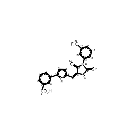 O=C(O)c1cccc(-c2ccc(/C=C3/SC(=S)N(c4cccc(C(F)(F)F)c4)C3=O)o2)c1